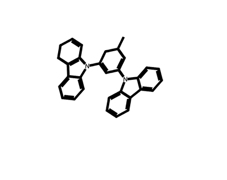 CC1C=C(n2c3ccccc3c3ccccc32)C=C(n2c3c(c4ccccc42)CCC=C3)C1